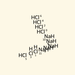 Cl.Cl.Cl.Cl.Cl.Cl.Cl.[NaH].[NaH].[NaH].[NaH].[NaH]